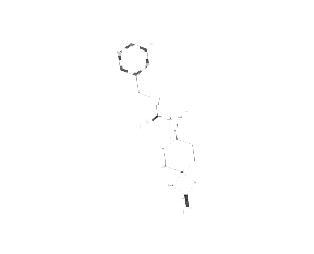 CN(C(=O)OCc1ccccc1)C1CCC2(CC1)CC(=O)C2